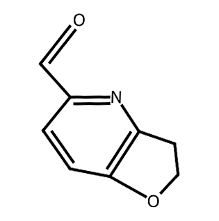 O=Cc1ccc2c(n1)CCO2